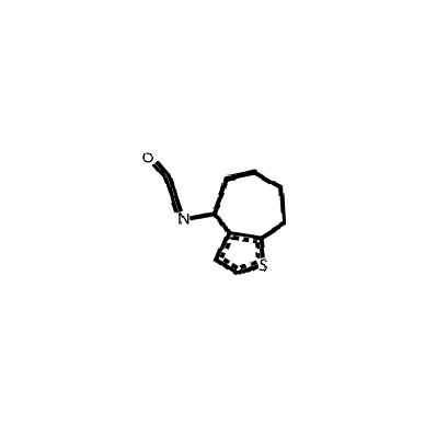 O=C=NC1CCCCc2sccc21